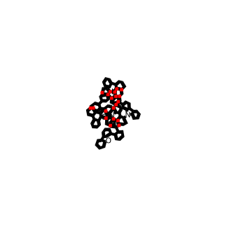 c1ccc(-c2cccc3c2oc2ccccc23)c(-c2ccc(N(c3ccc4c5ccccc5c5ccccc5c4c3)c3ccccc3-c3ccccc3-n3c4ccccc4c4ccc(-c5ccc6c7ccccc7n(-c7ccccc7-c7ccccc7N(c7ccc(-c8ccccc8-c8cccc9c8oc8ccccc89)cc7)c7cccc8ccccc78)c6c5)cc43)cc2)c1